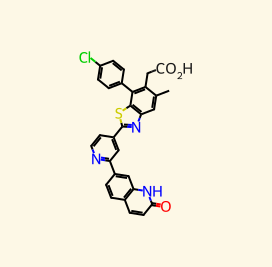 Cc1cc2nc(-c3ccnc(-c4ccc5ccc(=O)[nH]c5c4)c3)sc2c(-c2ccc(Cl)cc2)c1CC(=O)O